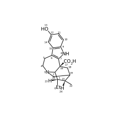 CC[C@@H]1C2N3CCc4c([nH]c5ccc(O)cc45)[C@]2(C(=O)O)CC(C3)[C@@H]1C